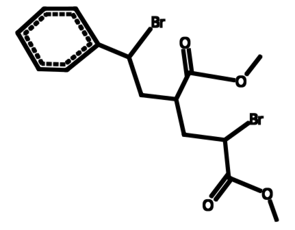 COC(=O)C(Br)CC(CC(Br)c1ccccc1)C(=O)OC